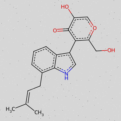 CC(C)=CCc1cccc2c(-c3c(CO)occ(O)c3=O)c[nH]c12